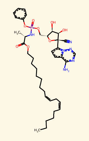 CCCCC/C=C\C/C=C\CCCCCCCCOC(=O)[C@H](C)NP(=O)(OC[C@H]1O[C@@](C#N)(c2ccc3c(N)ncnn23)[C@H](O)[C@@H]1O)Oc1ccccc1